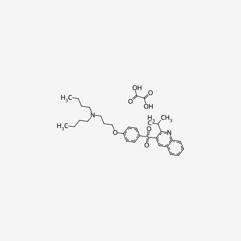 CCCCN(CCCC)CCCOc1ccc(S(=O)(=O)c2cc3ccccc3nc2C(C)C)cc1.O=C(O)C(=O)O